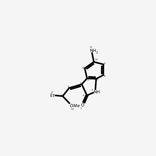 CCC(C=C1C(=O)Nc2ccc(N)cc21)OC